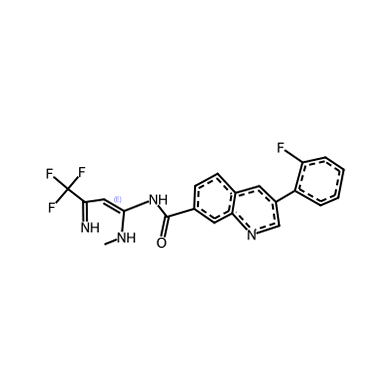 CN/C(=C\C(=N)C(F)(F)F)NC(=O)c1ccc2cc(-c3ccccc3F)cnc2c1